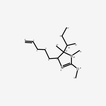 C=CCCCC1N=C(OC)N(C)C1(C)C(C)CC